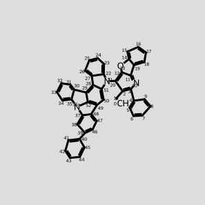 CCc1c(-c2ccccc2)nc2c(oc3ccccc32)c1-n1c2ccccc2c2c3c4ccccc4n4c5cc(-c6ccccc6)ccc5c(cc21)c34